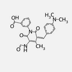 CC1=C(NC=O)C(=O)N(c2cccc(C(=O)O)c2)C(=O)/C1=C\c1ccc(N(C)C)cc1